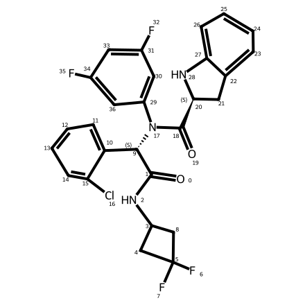 O=C(NC1CC(F)(F)C1)[C@H](c1ccccc1Cl)N(C(=O)[C@@H]1Cc2ccccc2N1)c1cc(F)cc(F)c1